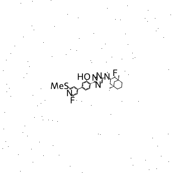 CSc1cc(-c2ccc(-c3ncc(N(C)[C@@H]4C[C@@]5(C)CCC[C@](C)(C5)[C@@H]4F)nn3)c(O)c2)cc(F)n1